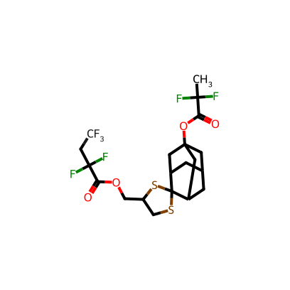 CC(F)(F)C(=O)OC12CC3CC(C1)C1(SCC(COC(=O)C(F)(F)CC(F)(F)F)S1)C(C3)C2